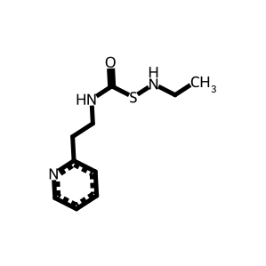 CCNSC(=O)NCCc1ccccn1